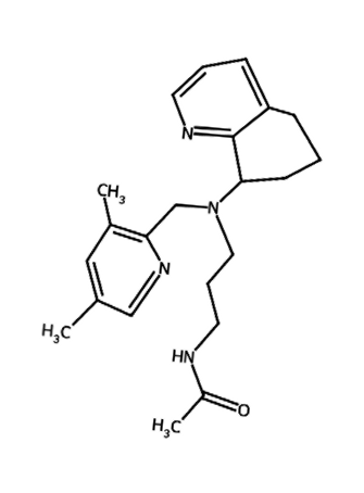 CC(=O)NCCCN(Cc1ncc(C)cc1C)C1CCCc2cccnc21